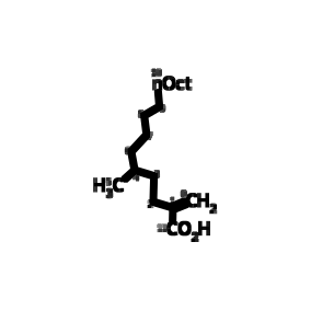 C=C(CCC(C)CCCCCCCCCCCC)C(=O)O